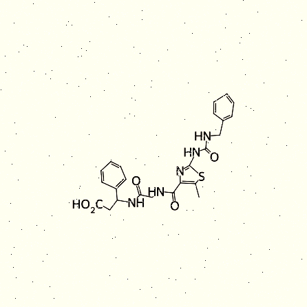 Cc1sc(NC(=O)NCc2ccccc2)nc1C(=O)NCC(=O)NC(CC(=O)O)c1ccccc1